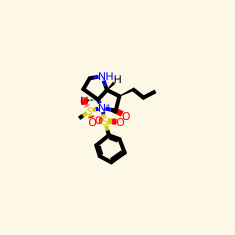 CCC[C@H]1C(=O)[N+](S(C)(=O)=O)(S(=O)(=O)c2ccccc2)[C@H]2CCN[C@H]12